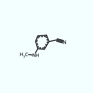 CNc1cccc(C#N)c1